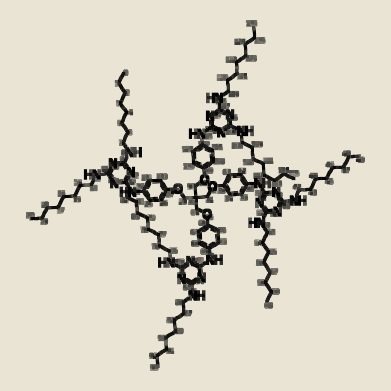 CCCCCCCCNc1nc(NCCCCCCCC)nc(Nc2ccc(OCC(COc3ccc(Nc4nc(NCCCCCCCC)nc(NCCCCCCCC)n4)cc3)(COc3ccc(Nc4nc(NCCCCCCCC)nc(NCCCCCCCC)n4)cc3)COc3ccc(Nc4nc(NCCCCCCCC)nc(NCCCCCCCC)n4)cc3)cc2)n1